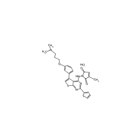 CC1=CC(=O)N(Nc2nc(-c3cccs3)nc3scc(-c4cccc(OCCCN(C)C)c4)c23)C1=O.Cl